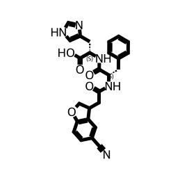 N#Cc1ccc2c(c1)C(CC(=O)N[C@@H](Cc1ccccc1)C(=O)N[C@@H](Cc1c[nH]cn1)C(=O)O)CO2